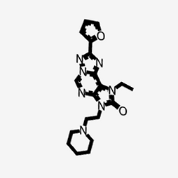 CCn1c(=O)n(CCN2CCCCC2)c2ncn3nc(-c4ccco4)nc3c21